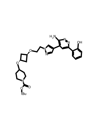 CC(C)(C)OC(=O)N1CCC(O[C@H]2C[C@H](OCCn3cc(-c4cc(-c5ccccc5O)nnc4N)cn3)C2)CC1